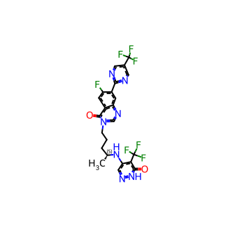 C[C@@H](CCCn1cnc2cc(-c3ncc(C(F)(F)F)cn3)c(F)cc2c1=O)Nc1cn[nH]c(=O)c1C(F)(F)F